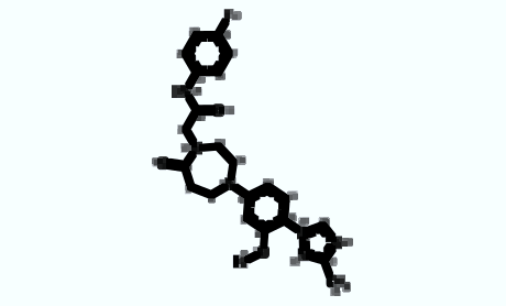 CCOc1cc(N2CCC(=O)N(CC(=O)Nc3ccc(F)cc3)CC2)ccc1-n1cnc(C)n1